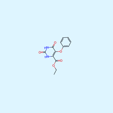 CCOC(=O)c1[nH]c(=O)[nH]c(=O)c1Oc1ccccc1